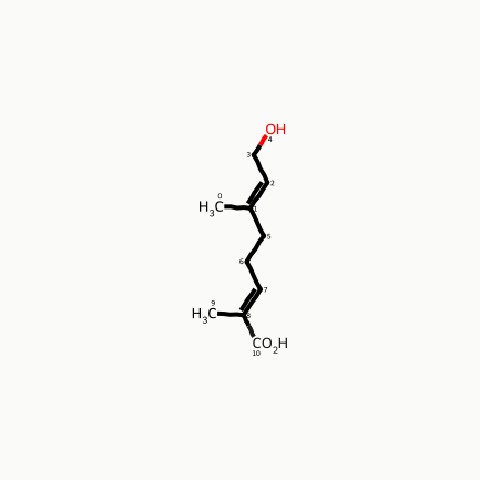 C/C(=C\CO)CC/C=C(\C)C(=O)O